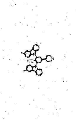 Cc1ccc2c(c1)c1ccccc1n2-c1cc(-c2ccncc2)cc(-n2c3ccccc3c3cc(C)ccc32)c1C#N